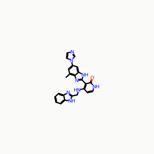 Cc1cc(-n2ccnc2)cc2[nH]c(-c3c(NCc4nc5ccccc5[nH]4)cc[nH]c3=O)nc12